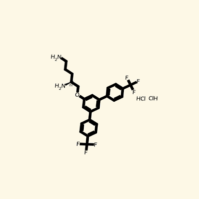 Cl.Cl.NCCC[C@H](N)COc1cc(-c2ccc(C(F)(F)F)cc2)cc(-c2ccc(C(F)(F)F)cc2)c1